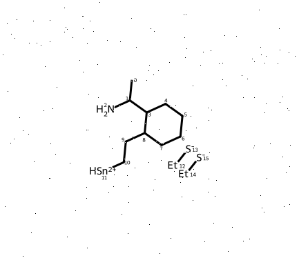 CC(N)C1CCCCC1C[CH2][SnH+2].CC[S-].CC[S-]